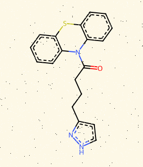 O=C(CCCc1cc[nH]n1)N1c2ccccc2Sc2ccccc21